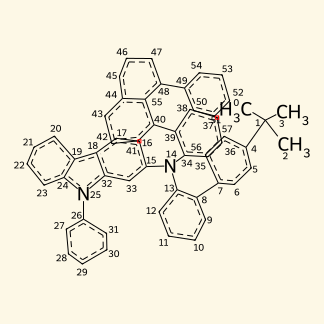 CC(C)(C)c1ccc(-c2ccccc2N(c2ccc3c4ccccc4n(-c4ccccc4)c3c2)c2ccccc2-c2cccc3cccc(-c4ccccc4)c23)cc1